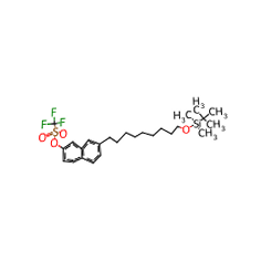 CC(C)(C)[Si](C)(C)OCCCCCCCCCc1ccc2ccc(OS(=O)(=O)C(F)(F)F)cc2c1